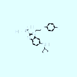 CN(C)c1nc2ccc(NC3COC3)cc2n1CCOc1ccc(Cl)cc1